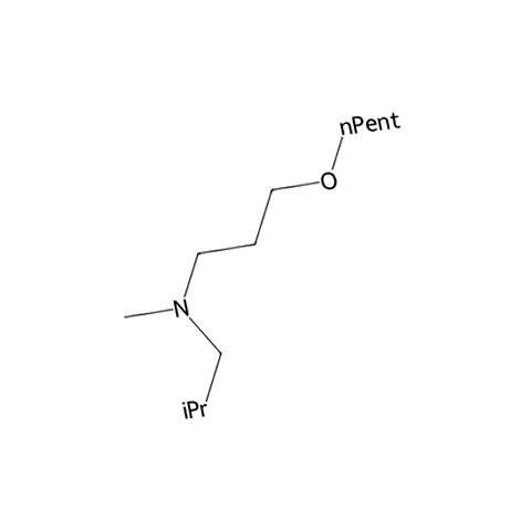 CCCCCOCCCN(C)CC(C)C